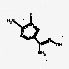 N/C(=N\O)c1ccc(N)c(F)c1